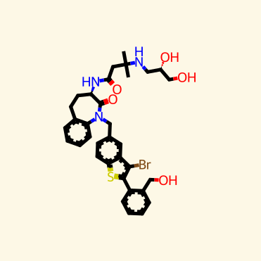 CC(C)(CC(=O)N[C@@H]1CCc2ccccc2N(Cc2ccc3sc(-c4ccccc4CO)c(Br)c3c2)C1=O)NC[C@H](O)CO